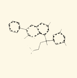 CN(C)CCC(O)(c1cc(F)cc(F)c1)c1cc(Br)cc2cc(-c3ccccc3)c(Cl)nc12